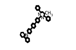 CC1C=C(c2ccccc2)N=C(c2ccc(-c3ccc(-c4ccc(-n5c6c(c7ccccc75)C=CCC6)cc4)cc3)cc2)N=C1c1ccccc1